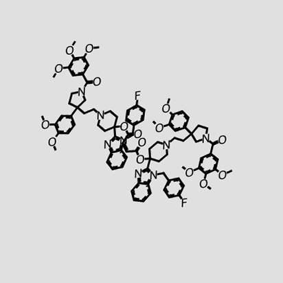 COc1ccc(C2(CCN3CCC(OC(=O)/C=C\C(=O)OC4(c5nc6ccccc6n5Cc5ccc(F)cc5)CCN(CCC5(c6ccc(OC)c(OC)c6)CCN(C(=O)c6cc(OC)c(OC)c(OC)c6)C5)CC4)(c4nc5ccccc5n4Cc4ccc(F)cc4)CC3)CCN(C(=O)c3cc(OC)c(OC)c(OC)c3)C2)cc1OC